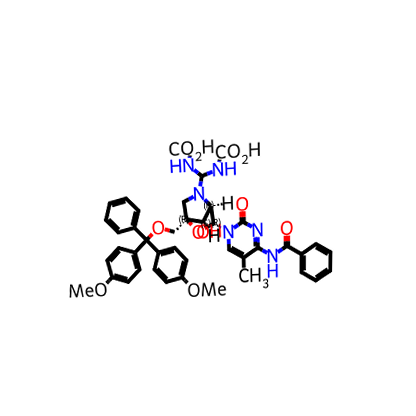 COc1ccc(C(OC[C@@]23CN(C(NC(=O)O)NC(=O)O)[C@@H]([C@H](n4cc(C)c(NC(=O)c5ccccc5)nc4=O)O2)[C@@H]3O)(c2ccccc2)c2ccc(OC)cc2)cc1